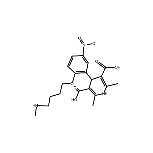 CNCCCCOc1ccc([N+](=O)[O-])cc1C1C(C(=O)O)=C(C)NC(C)=C1C(=O)O